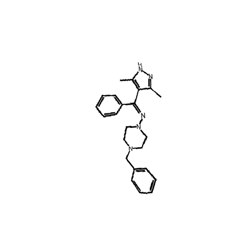 Cc1n[nH]c(C)c1C(=NN1CCN(Cc2ccccc2)CC1)c1ccccc1